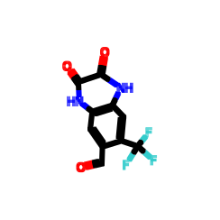 O=Cc1cc2[nH]c(=O)c(=O)[nH]c2cc1C(F)(F)F